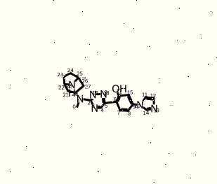 CN(c1ncc(-c2ccc(-n3ccnc3)cc2O)nn1)[C@@H]1CC2CC[C@@](C)(C1)N2